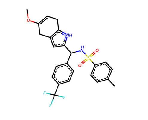 COC1=CCc2[nH]c(C(NS(=O)(=O)c3ccc(C)cc3)c3ccc(C(F)(F)F)cc3)cc2C1